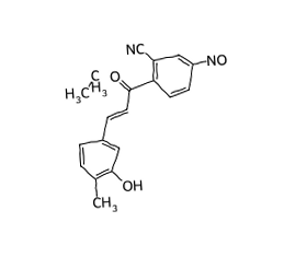 CC.Cc1ccc(/C=C/C(=O)c2ccc(N=O)cc2C#N)cc1O